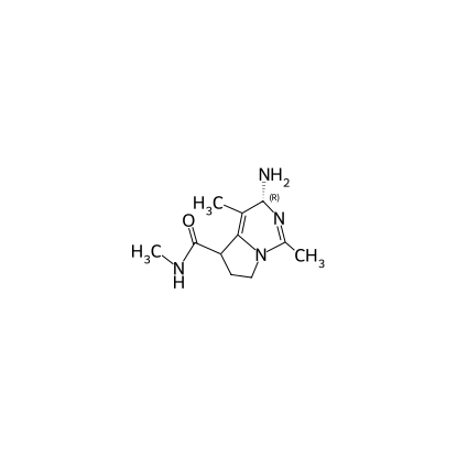 CNC(=O)C1CCN2C(C)=N[C@@H](N)C(C)=C12